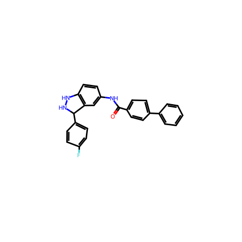 O=C(Nc1ccc2c(c1)C(c1ccc(F)cc1)NN2)c1ccc(-c2ccccc2)cc1